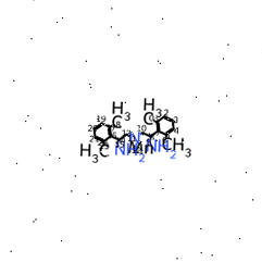 Cc1cccc(C)c1C(N)C[N]([Mn])CC(N)c1c(C)cccc1C